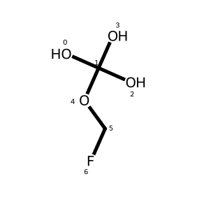 OC(O)(O)OCF